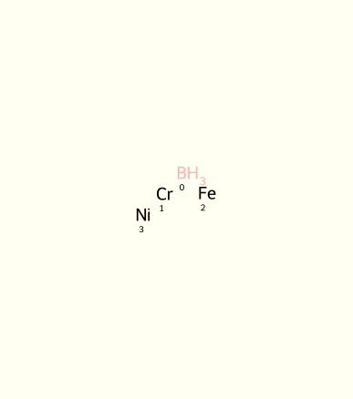 B.[Cr].[Fe].[Ni]